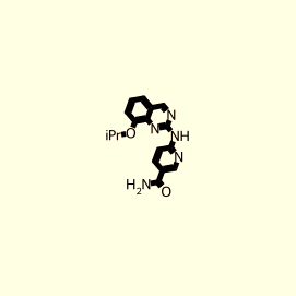 CC(C)Oc1cccc2cnc(Nc3ccc(C(N)=O)cn3)nc12